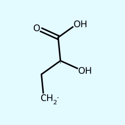 [CH2]C[C](O)C(=O)O